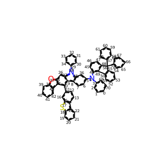 c1ccc(N(c2ccc3c4c(-c5ccc6c(c5)sc5ccccc56)c5c(cc4n(-c4ccccc4)c3c2)oc2ccccc25)c2cccc3c2-c2ccccc2C3(c2ccccc2)c2ccccc2)cc1